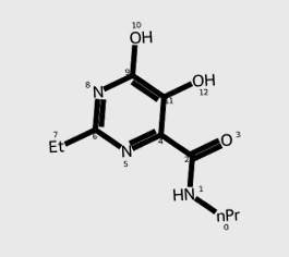 CCCNC(=O)c1nc(CC)nc(O)c1O